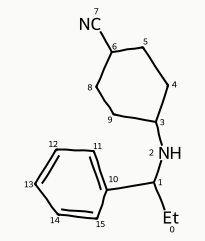 CCC(NC1CCC(C#N)CC1)c1ccccc1